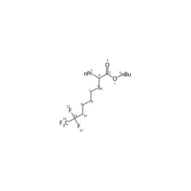 CCCCOC(=O)C(CCC)SCCCCC(F)(F)C(F)(F)F